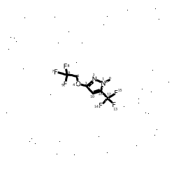 Cn1nc(OCC(F)(F)F)[c]c1C(F)(F)F